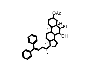 CC[C@@H]1[C@H]2C[C@H](OC(C)=O)CC[C@]2(C)C2CC[C@@]3(C)C(CC[C@@H]3[C@H](C)CC=C(c3ccccc3)c3ccccc3)C2[C@@H]1O